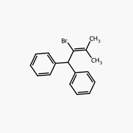 CC(C)=C(Br)C(c1ccccc1)c1ccccc1